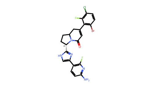 Nc1ccc(-c2c[nH]c([C@@H]3CCC4CC(c5c(Br)ccc(Cl)c5F)=CC(=O)N43)n2)c(F)n1